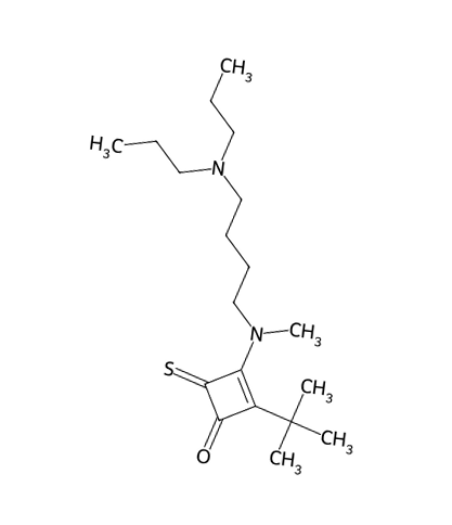 CCCN(CCC)CCCCN(C)c1c(C(C)(C)C)c(=O)c1=S